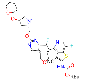 CN1C[C@H](OC2CCCCO2)C[C@H]1COc1ncc2c3c(c(-c4ncc(F)c5sc(NC(=O)OC(C)(C)C)c(C#N)c45)c(F)c2n1)COC3